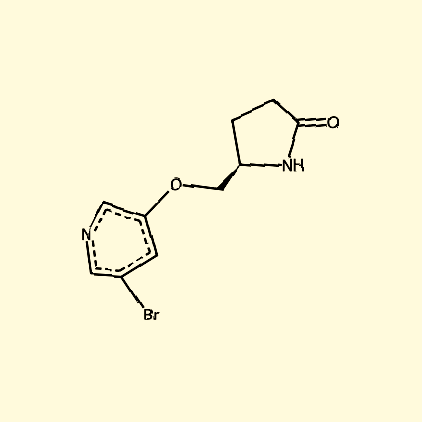 O=C1CC[C@H](COc2cncc(Br)c2)N1